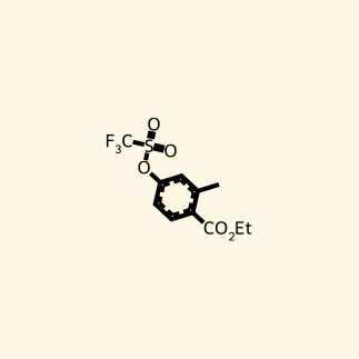 CCOC(=O)c1ccc(OS(=O)(=O)C(F)(F)F)cc1C